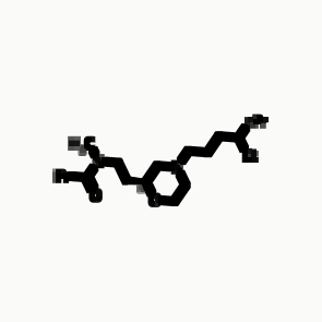 CCCC(CC)CCCN1CCO[C@@H](CCN(C)C(=O)C(C)C)C1